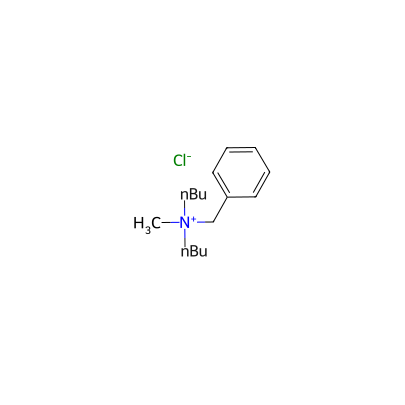 CCCC[N+](C)(CCCC)Cc1ccccc1.[Cl-]